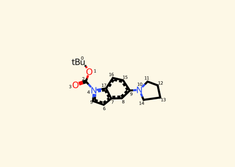 CC(C)(C)OC(=O)n1ccc2cc(N3CCCC3)ccc21